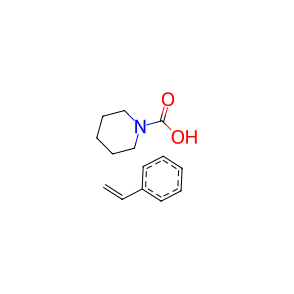 C=Cc1ccccc1.O=C(O)N1CCCCC1